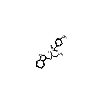 CCC(Cc1c[nH]c2ccccc12)NS(=O)(=O)c1ccc(C)cc1